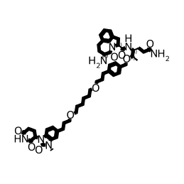 C[C@@H](OCc1ccc(CCCOCCCCCCOCCCc2ccc3c(c2)n(C)c(=O)n3C2CCC(=O)NC2=O)cc1)[C@H](CCC(N)=O)NC(=O)[C@@H]1Cc2cccc3c2N1C(=O)[C@@H](N)CC3